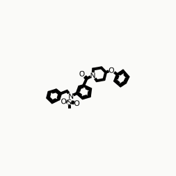 CS(=O)(=O)N(Cc1ccccc1)c1cccc(C(=O)N2CCC(Oc3ccccc3)CC2)c1